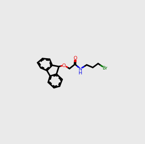 O=C(COC1c2ccccc2-c2ccccc21)NCCCBr